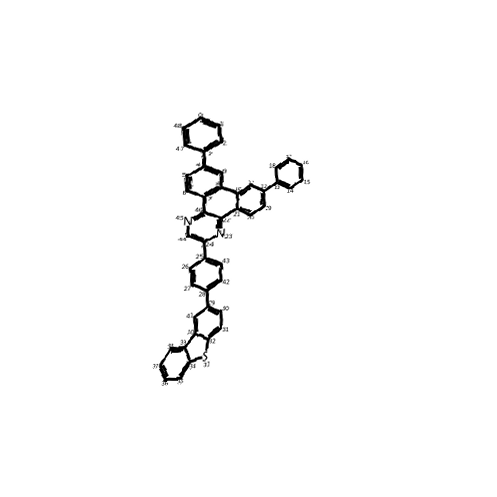 c1ccc(-c2ccc3c(c2)c2cc(-c4ccccc4)ccc2c2nc(-c4ccc(-c5ccc6sc7ccccc7c6c5)cc4)cnc32)cc1